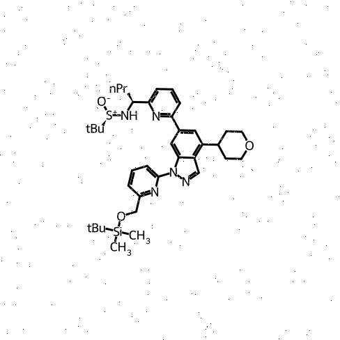 CCC[C@H](N[S@+]([O-])C(C)(C)C)c1cccc(-c2cc(C3CCOCC3)c3cnn(-c4cccc(CO[Si](C)(C)C(C)(C)C)n4)c3c2)n1